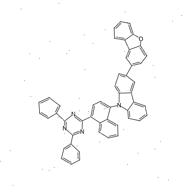 c1ccc(-c2nc(-c3ccccc3)nc(-c3ccc(-n4c5ccccc5c5cc(-c6ccc7oc8ccccc8c7c6)ccc54)c4ccccc34)n2)cc1